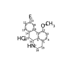 COc1ccc2c3c1-c1cc(F)ccc1CC3NCC2.Cl